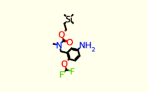 CN(Cc1cc(N)ccc1OC(F)F)C(=O)OCC[Si](C)(C)C